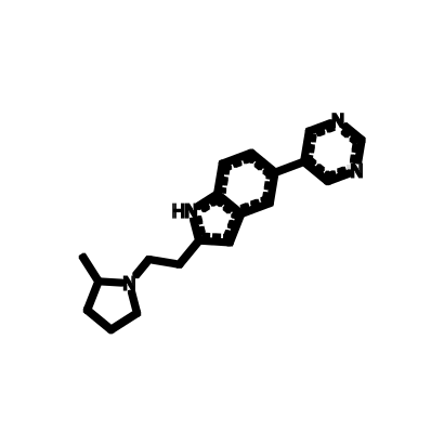 CC1CCCN1CCc1cc2cc(-c3cncnc3)ccc2[nH]1